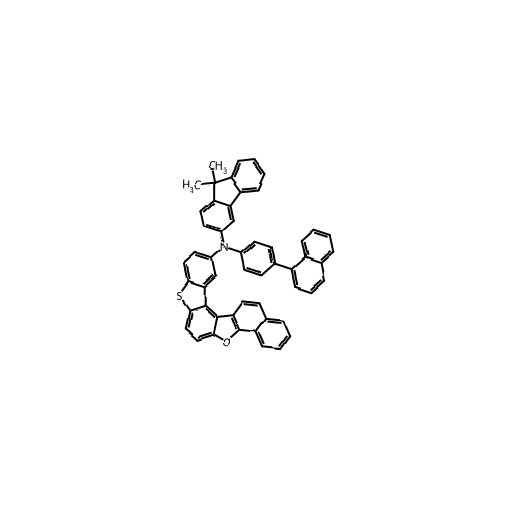 CC1(C)c2ccccc2-c2cc(N(c3ccc(-c4cccc5ccccc45)cc3)c3ccc4sc5ccc6oc7c8ccccc8ccc7c6c5c4c3)ccc21